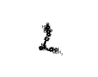 CS(=O)(=O)Nc1ccc(CCNc2nc(C#CC3CCN(c4ccc5c(c4)C(=O)N(C4CCC(=O)NC4=O)C5=O)CC3)nc3ccccc23)cc1